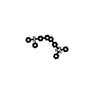 C1=CCCC(c2nc(-c3ccccc3)nc(-c3ccc(-c4ccc5ccc(-c6ccc(C7=NC(c8ccccc8)N7c7ccccc7)cc6)cc5c4)cc3)n2)=C1